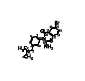 CN(C)Cc1cccc(-n2c(N)nc3ccc(Br)cc3c2=O)c1